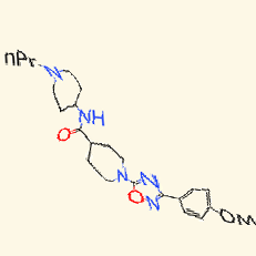 CCCN1CCC(NC(=O)C2CCN(c3nc(-c4ccc(OC)cc4)no3)CC2)CC1